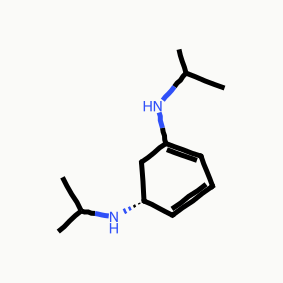 CC(C)NC1=CC=C[C@H](NC(C)C)C1